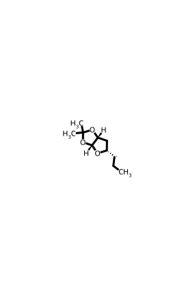 CC[CH][C@H]1C[C@H]2OC(C)(C)O[C@H]2O1